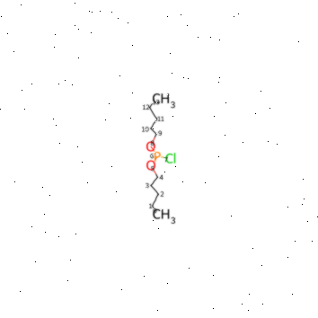 CCCCCOP(Cl)OCCCCC